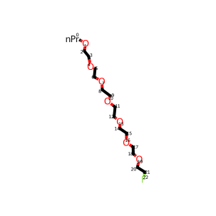 CCCOCCOCCOCCOCCOCCOCCOCCF